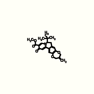 C=C1COc2cc3c(cc2OC1)-c1cc(=O)c(C(=O)OC)cn1C(C(C)(C)C)C3